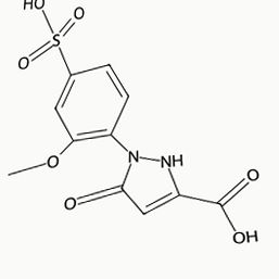 COc1cc(S(=O)(=O)O)ccc1-n1[nH]c(C(=O)O)cc1=O